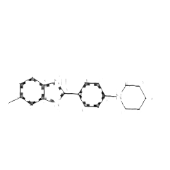 Cc1ccc2[nH]c(-c3ccc(N4CCCCC4)cc3)nc2c1